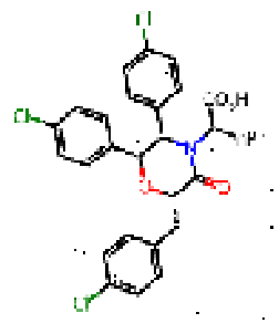 CCC[C@H](C(=O)O)N1C(=O)[C@H](Cc2ccc(Cl)cc2)O[C@@H](c2ccc(Cl)cc2)[C@H]1c1ccc(Cl)cc1